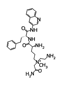 C[N+](CCN)(CCC[C@H](N)C(=O)N[C@H](CCc1ccccc1)C(=O)Nc1cnc2ccccc2c1)CC(N)=O